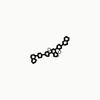 c1ccc2cc(-c3ccc4c(c3)Oc3cccc5c3c-4cc3oc4cc(-c6ccc(-c7cccc8ccccc78)cc6)ccc4c35)ccc2c1